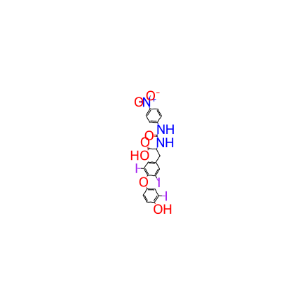 O=C(Nc1ccc([N+](=O)[O-])cc1)NC(Cc1cc(I)c(Oc2ccc(O)c(I)c2)c(I)c1)C(=O)O